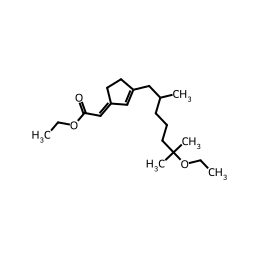 CCOC(=O)/C=C1/C=C(CC(C)CCCC(C)(C)OCC)CC1